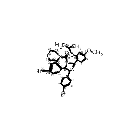 COc1ccc(C2=NC(c3ccc(Br)cc3)C(c3ccc(Br)cc3)N2C(=O)N2CCOCC2)c(OC(C)C)c1